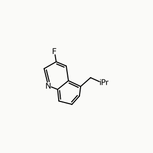 CC(C)Cc1cccc2ncc(F)cc12